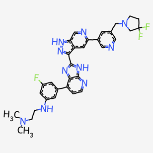 CN(C)CCNc1cc(F)cc(-c2ccnc3[nH]c(-c4n[nH]c5cnc(-c6cncc(CN7CCC(F)(F)C7)c6)cc45)nc23)c1